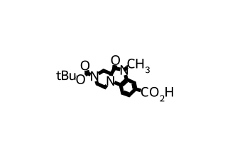 CN1C(=O)C2CN(C(=O)OC(C)(C)C)CCN2c2ccc(C(=O)O)cc21